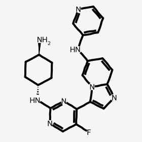 N[C@H]1CC[C@H](Nc2ncc(F)c(-c3cnc4ccc(Nc5cccnc5)cn34)n2)CC1